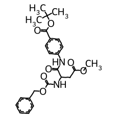 COC(=O)CC(NC(=O)OCc1ccccc1)C(=O)Nc1ccc(C(=O)OC(C)(C)C)cc1